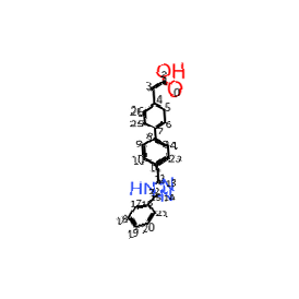 O=C(O)CC1CC=C(c2ccc(-c3nnc(-c4ccccc4)[nH]3)cc2)CC1